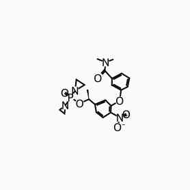 C[C@H](OP(=O)(N1CC1)N1CC1)c1ccc([N+](=O)[O-])c(Oc2cccc(C(=O)N(C)C)c2)c1